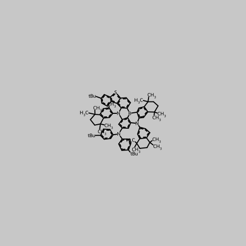 Cc1cc2c(cc1N1c3cc(N(c4ccc(C(C)(C)C)cc4)c4ccc(C(C)(C)C)cc4)cc4c3B(c3cc5c(cc3N4c3ccc4c(c3)C(C)(C)CCC4(C)C)C(C)(C)CCC5(C)C)c3ccc4sc5cc(C(C)(C)C)ccc5c4c31)C(C)(C)CCC2(C)C